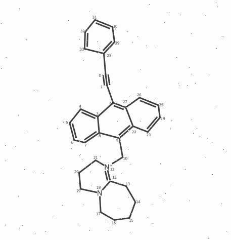 C(#Cc1c2ccccc2c(C[N+]2=C3CCCCCN3CCC2)c2ccccc12)c1ccccc1